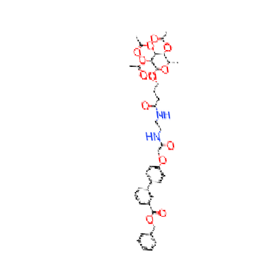 CC(=O)OC1C(OC(C)=O)[C@H](C)OC(OCCCC(=O)NCCNC(=O)COc2ccc(-c3cccc(C(=O)OCc4ccccc4)c3)cc2)[C@H]1OC(C)=O